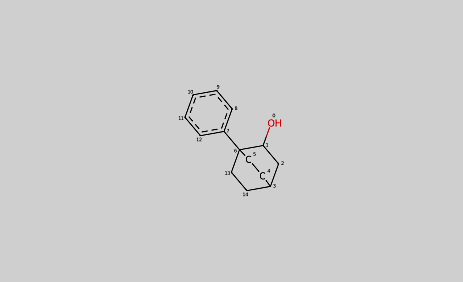 OC1CC2CCC1(c1ccccc1)CC2